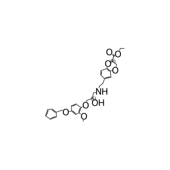 CCOC(=O)[C@H]1COc2cc(CCNC[C@H](O)COc3ccc(OCc4ccccc4)cc3OC)ccc2O1